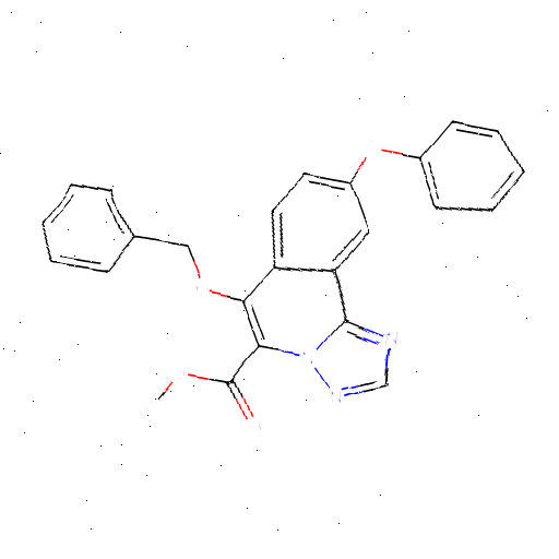 COC(=O)c1c(OCc2ccccc2)c2ccc(Oc3ccccc3)cc2c2ncnn12